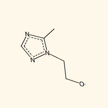 Cc1ncnn1CC[O]